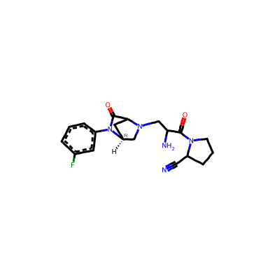 N#CC1CCCN1C(=O)C(N)CN1C[C@@H]2CC1C(=O)N2c1cccc(F)c1